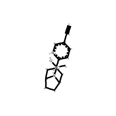 C#Cc1ccc(N2CC3CCC(C2)N3[S+](C)[O-])nc1